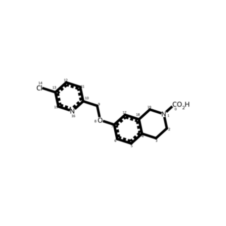 O=C(O)N1CCc2ccc(OCc3ccc(Cl)cn3)cc2C1